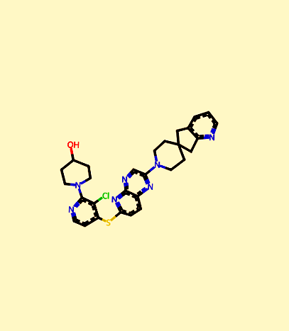 OC1CCN(c2nccc(Sc3ccc4nc(N5CCC6(CC5)Cc5cccnc5C6)cnc4n3)c2Cl)CC1